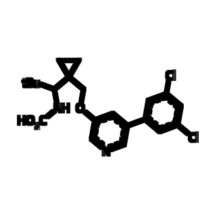 CC(C)(C)C(NC(=O)O)C1(COc2cncc(-c3cc(Cl)cc(Cl)c3)c2)CC1